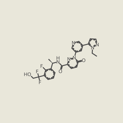 CCn1nccc1-c1cncc(-n2nc(C(=O)N[C@H](C)c3cccc(C(F)(F)CO)c3F)ccc2=O)c1